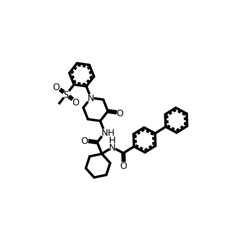 CS(=O)(=O)c1ccccc1N1CCC(NC(=O)C2(NC(=O)c3ccc(-c4ccccc4)cc3)CCCCC2)C(=O)C1